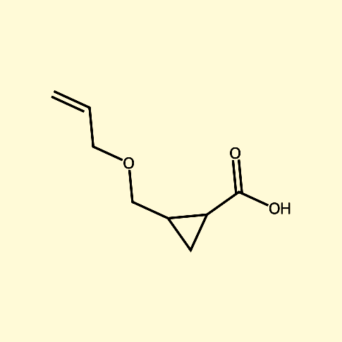 C=CCOCC1CC1C(=O)O